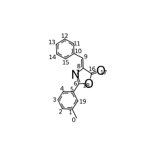 Cc1cccc(C2=N/C(=C\c3ccccc3)C(=O)O2)c1